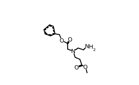 COC(=O)CCN(CCN)CC(=O)OCc1ccccc1